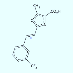 Cc1oc(/C=C/c2cccc(C(F)(F)F)c2)nc1C(=O)O